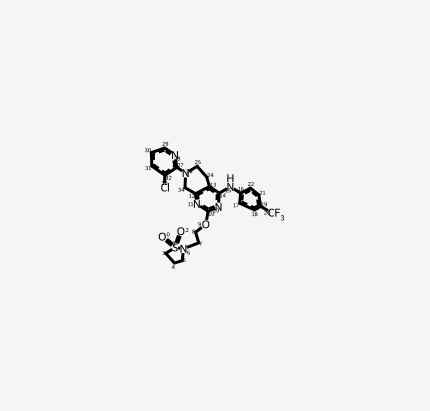 O=S1(=O)CCCN1CCOc1nc2c(c(Nc3ccc(C(F)(F)F)cc3)n1)CCN(c1ncccc1Cl)C2